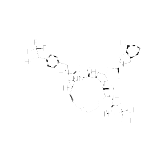 CC(C)(C)OC(=O)N[C@H]1CCCCC/C=C\[C@@H]2C[C@@]2(C(=O)NCc2ccc(C(O)C(F)(F)F)cc2)NC(=O)[C@@H]2C[C@@H](OC(=O)N3Cc4cccc(F)c4C3)CN2C1=O